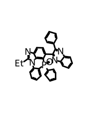 CCc1nc2ccc(-c3nc4ccccc4nc3-c3ccccc3)c3c2n1-c1ccccc1P3(=O)c1ccccc1